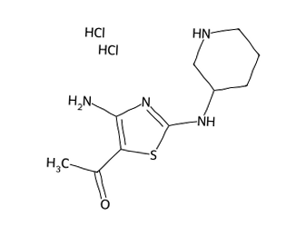 CC(=O)c1sc(NC2CCCNC2)nc1N.Cl.Cl